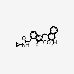 O=C(Cc1cccc2c1c(F)c(C(=O)O)n2Cc1cccc2ccccc12)NC1CC1